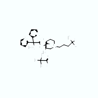 O=C(O[C@H]1C[N+]2(CCCC(F)(F)F)CCC1CC2)C(O)(c1cccs1)c1cccs1.O=C([O-])C(F)(F)F